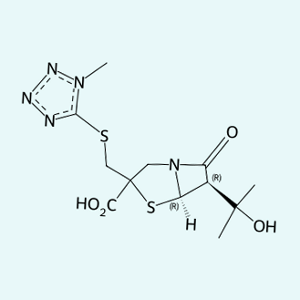 Cn1nnnc1SCC1(C(=O)O)CN2C(=O)[C@@H](C(C)(C)O)[C@H]2S1